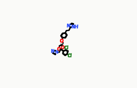 Clc1ccc([C@]2(Cn3ccnc3)OC[C@H](COc3ccc(CCc4ncc[nH]4)cc3)O2)c(Cl)c1